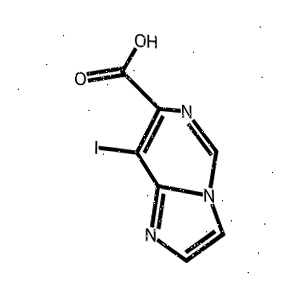 O=C(O)c1ncn2ccnc2c1I